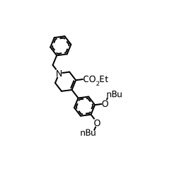 CCCCOc1ccc(C2=C(C(=O)OCC)CN(Cc3ccccc3)CC2)cc1OCCCC